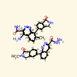 CN1Cc2cc(-c3cccc4cc(C(=O)NN)nnc34)ccc2C1=O.Cc1ccc2c(N)c(C(N)=O)nnc2c1-c1ccc2c(c1)CNC2=O